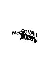 C/C=C\C=C/C(=O)[C@@H](O)[C@@H](O)C/C=C/c1cc(OC)cc(OC)c1C(=O)OC